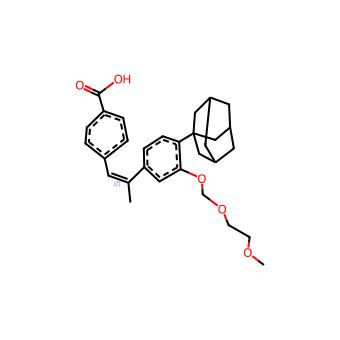 COCCOCOc1cc(/C(C)=C\c2ccc(C(=O)O)cc2)ccc1C12CC3CC(CC(C3)C1)C2